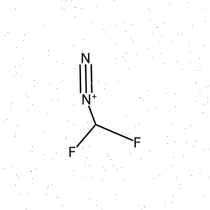 N#[N+]C(F)F